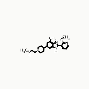 CNCCN1CCC(c2cc(C)c3nc(-c4cccnc4OC)[nH]c3c2)CC1